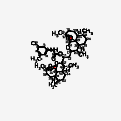 Cc1cc(Cl)cc(NC(=O)O[C@@H](C[C@H]2O[C@@H]3C[C@]4(C)CC[C@H]5[C@H](C)CC[C@@H]([C@H]2C)[C@@]35OO4)C2O[C@@H]3C[C@]4(C)CC[C@H]5[C@H](C)CC[C@@H]([C@H]2C)[C@@]35OO4)c1